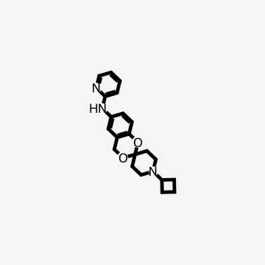 c1ccc(Nc2ccc3c(c2)COC2(CCN(C4CCC4)CC2)O3)nc1